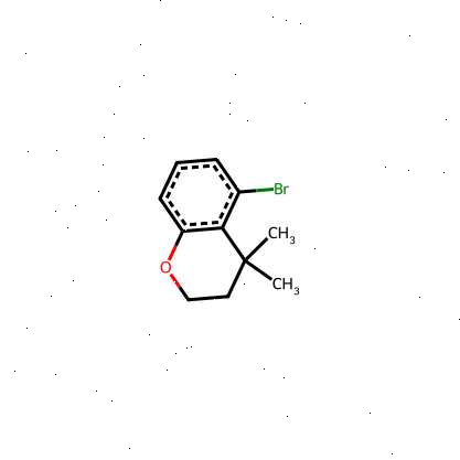 CC1(C)CCOc2cccc(Br)c21